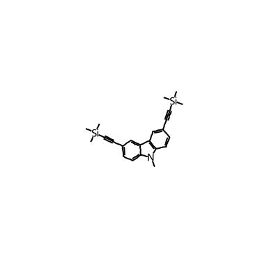 Cn1c2ccc(C#C[Si](C)(C)C)cc2c2cc(C#C[Si](C)(C)C)ccc21